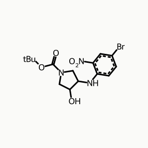 CC(C)(C)OC(=O)N1CC(O)C(Nc2ccc(Br)cc2[N+](=O)[O-])C1